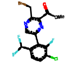 COC(=O)c1nc(-c2c(C(F)F)ccc(Cl)c2F)cnc1CBr